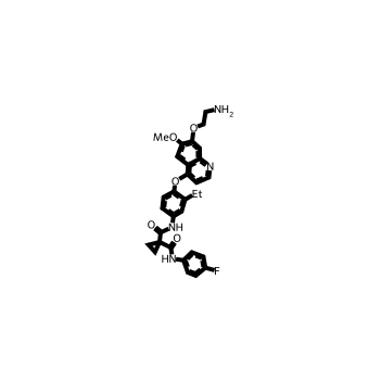 CCc1cc(NC(=O)C2(C(=O)Nc3ccc(F)cc3)CC2)ccc1Oc1ccnc2cc(OCCN)c(OC)cc12